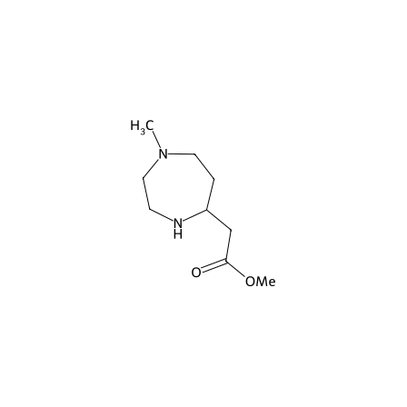 COC(=O)CC1CCN(C)CCN1